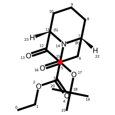 CCOC(=O)C1C[C@H]2CCC[C@@H](C1=O)N2C(=O)OC(C)(C)C